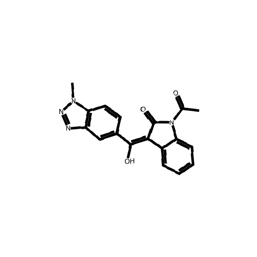 CC(=O)N1C(=O)C(=C(O)c2ccc3c(c2)nnn3C)c2ccccc21